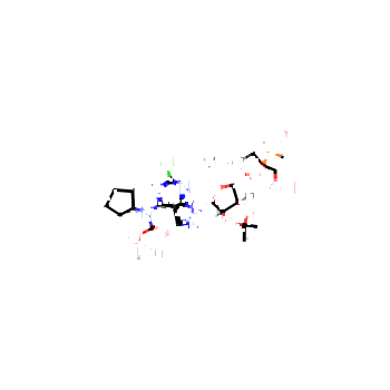 COCC(CO)(OC[C@H]1O[C@@H](n2ncc3c(N(C(=O)OC(C)(C)C)C4CCCC4)nc(Cl)nc32)[C@@H]2OC(C)(C)O[C@@H]21)P(C)(C)=O